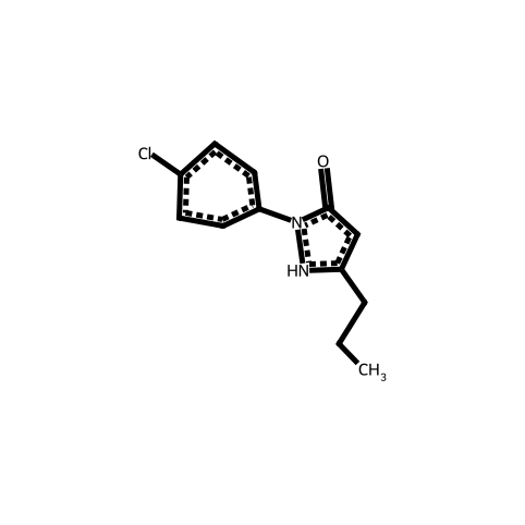 CCCc1cc(=O)n(-c2ccc(Cl)cc2)[nH]1